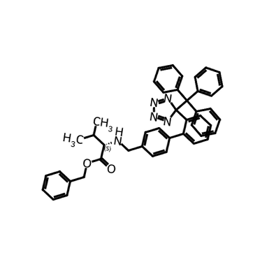 CC(C)[C@H](NCc1ccc(-c2ccccc2C2(C(c3ccccc3)(c3ccccc3)c3ccccc3)N=NN=N2)cc1)C(=O)OCc1ccccc1